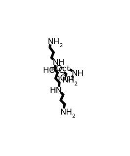 CCCCCCCCNCCCCCCCC.NCC(=O)O.NCCCNCCCCNCCCN